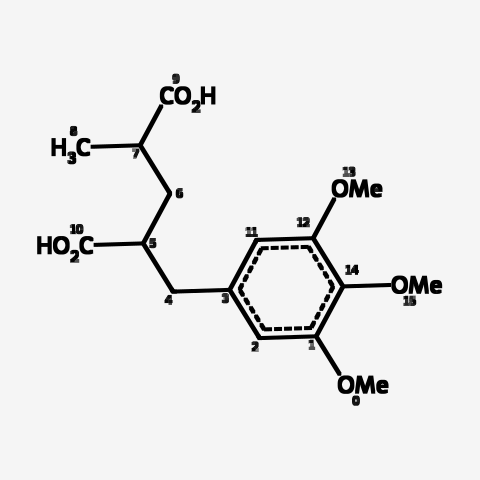 COc1cc(CC(CC(C)C(=O)O)C(=O)O)cc(OC)c1OC